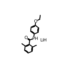 CCOc1ccc(PC(=O)c2c(C)cccc2C)cc1.[LiH]